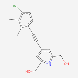 Cc1c(Br)ccc(C#Cc2cc(CO)nc(CO)c2)c1C